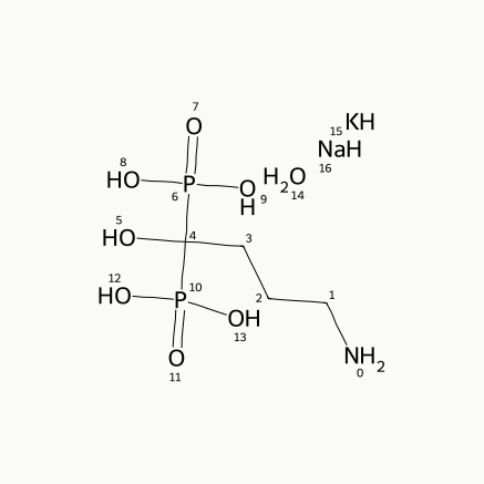 NCCCC(O)(P(=O)(O)O)P(=O)(O)O.O.[KH].[NaH]